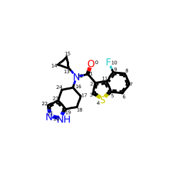 O=C(c1csc2cccc(F)c12)N(C1CC1)C1CCc2[nH]ncc2C1